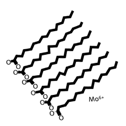 CCCCCCCCCCCCCCCC(=O)[O-].CCCCCCCCCCCCCCCC(=O)[O-].CCCCCCCCCCCCCCCC(=O)[O-].CCCCCCCCCCCCCCCC(=O)[O-].CCCCCCCCCCCCCCCC(=O)[O-].CCCCCCCCCCCCCCCC(=O)[O-].[Mo+6]